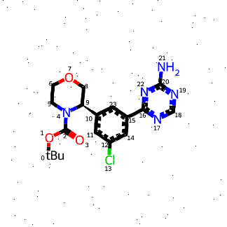 CC(C)(C)OC(=O)N1CCOC[C@H]1c1cc(Cl)cc(-c2ncnc(N)n2)c1